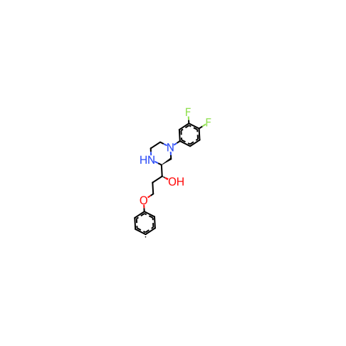 O[C@@H](CCOc1cc[c]cc1)[C@@H]1CN(c2ccc(F)c(F)c2)CCN1